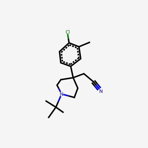 Cc1cc(C2(CC#N)CCN(C(C)(C)C)CC2)ccc1Cl